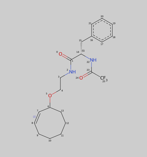 O=C(NCCOC1/C=C\CCCCC1)[C@H](Cc1ccccc1)NC(=O)C(F)(F)F